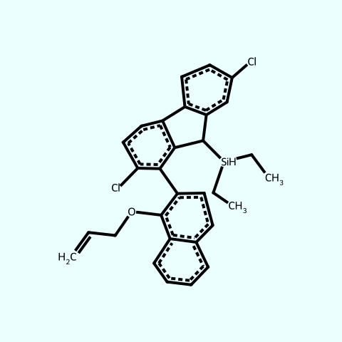 C=CCOc1c(-c2c(Cl)ccc3c2C([SiH](CC)CC)c2cc(Cl)ccc2-3)ccc2ccccc12